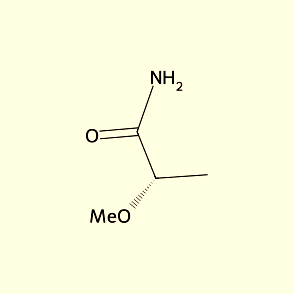 CO[C@@H](C)C(N)=O